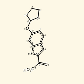 O=C(O)C(=O)c1cc2ccc(OC3CCCC3)cc2s1